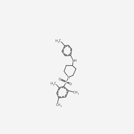 Cc1ccc(NC2CCN(S(=O)(=O)c3c(C)cc(C)cc3C)CC2)cc1